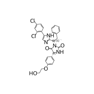 C[C@@H](c1ccccc1)[C@@H](c1ncc(-c2ccc(Cl)cc2Cl)[nH]1)N1C(=O)N[C@H](c2ccc(OCCO)cc2)C1=O